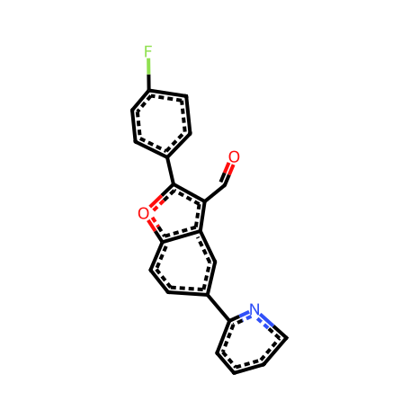 O=Cc1c(-c2ccc(F)cc2)oc2ccc(-c3ccccn3)cc12